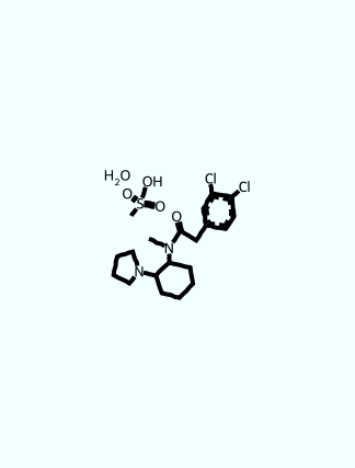 CN(C(=O)Cc1ccc(Cl)c(Cl)c1)C1CCCCC1N1CCCC1.CS(=O)(=O)O.O